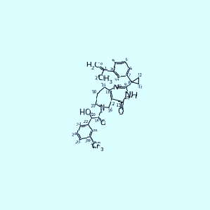 C=C(C)c1cccc(C2(c3nc4c(c(=O)[nH]3)CN(C(=O)C(O)c3cccc(C(F)(F)F)c3)CCC4)CC2)c1